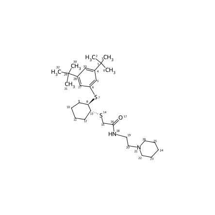 CC(C)(C)c1cc(S[C@@H]2CCCC[C@H]2SCC(=O)NCCN2CCCCC2)cc(C(C)(C)C)c1